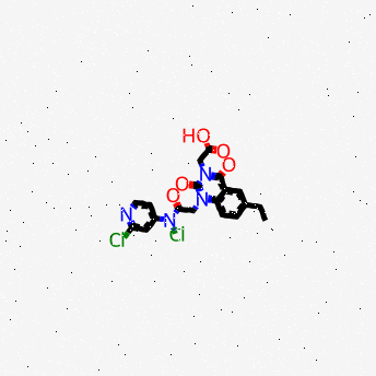 CCc1ccc2c(c1)c(=O)n(CC(=O)O)c(=O)n2CC(=O)N(Cl)c1ccnc(Cl)c1